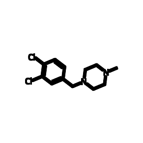 CN1CCN(Cc2ccc(Cl)c(Cl)c2)CC1